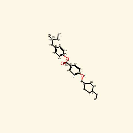 CCC1CCC(COc2ccc(C(=O)Oc3ccc(C[C@@H](C)CC)cc3)cc2)CC1